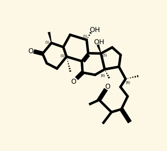 C=C(CC[C@@H](C)C1CC[C@@]2(O)C3=C(C(=O)C[C@]12C)[C@@]1(C)CCC(=O)[C@@H](C)C1C[C@@H]3O)C(C)C(C)=O